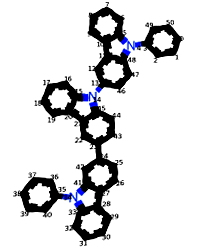 c1ccc(-n2c3ccccc3c3cc(-n4c5ccccc5c5cc(-c6ccc7c8ccccc8n(-c8ccccc8)c7c6)ccc54)ccc32)cc1